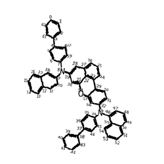 c1ccc(-c2ccc(N(c3ccc4ccccc4c3)c3cc4c5c(cccc5c3)-c3ccc(N(c5ccc(-c6ccccc6)cc5)c5cccc6ccccc56)cc3O4)cc2)cc1